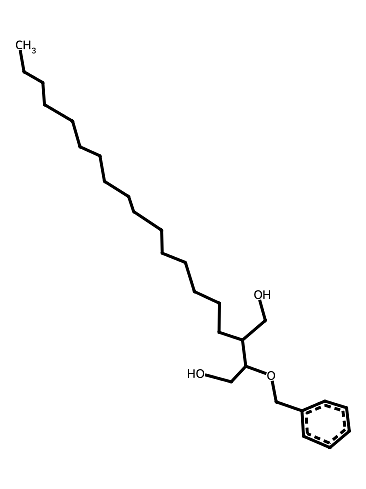 CCCCCCCCCCCCCCCCC(CO)C(CO)OCc1ccccc1